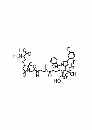 CC(C)(C)[C@H](c1cc(-c2cc(F)ccc2F)cn1Cc1ccccc1)N(CC[C@H](N)C(=O)NCCNC(=O)CN1C(=O)CC(SCC(N)C(=O)O)C1=O)C(=O)CO